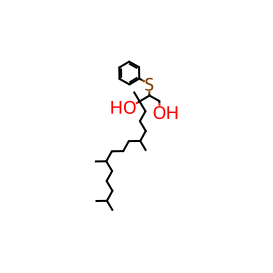 CC(C)CCCC(C)CCCC(C)CCCC(C)(O)C(CO)Sc1ccccc1